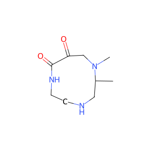 CC1CNCCNC(=O)C(=O)CN1C